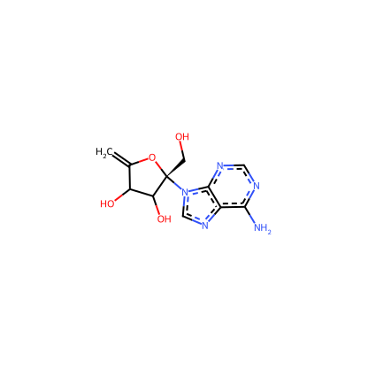 C=C1O[C@](CO)(n2cnc3c(N)ncnc32)C(O)C1O